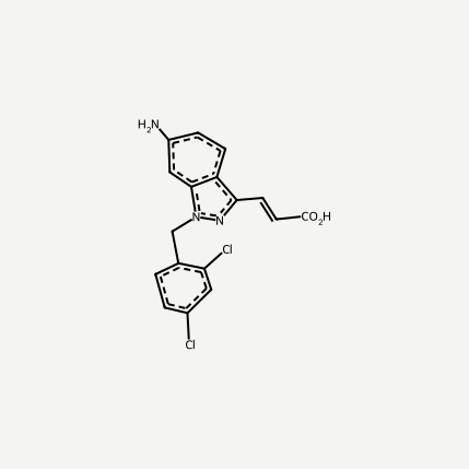 Nc1ccc2c(C=CC(=O)O)nn(Cc3ccc(Cl)cc3Cl)c2c1